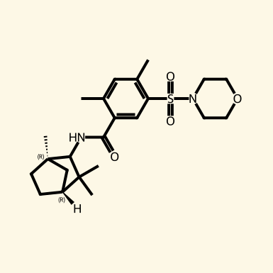 Cc1cc(C)c(S(=O)(=O)N2CCOCC2)cc1C(=O)NC1C(C)(C)[C@@H]2CC[C@]1(C)C2